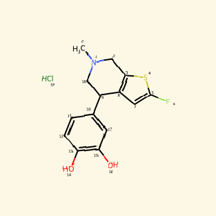 CN1Cc2sc(F)cc2C(c2ccc(O)c(O)c2)C1.Cl